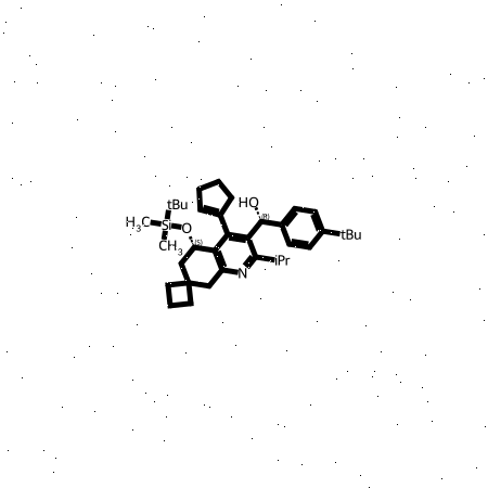 CC(C)c1nc2c(c(C3=CCCC3)c1[C@H](O)c1ccc(C(C)(C)C)cc1)[C@@H](O[Si](C)(C)C(C)(C)C)CC1(CCC1)C2